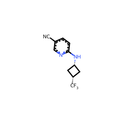 N#Cc1ccc(N[C@H]2C[C@@H](C(F)(F)F)C2)nc1